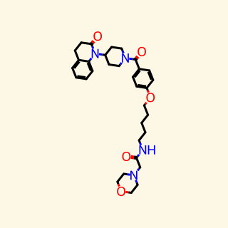 O=C(CN1CCOCC1)NCCCCCOc1ccc(C(=O)N2CCC(N3C(=O)CCc4ccccc43)CC2)cc1